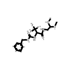 COC(CNC(=O)C(NC(=O)OCc1ccccc1)C(F)(F)F)OC